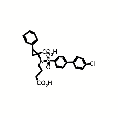 O=C(O)CCCN(C1(C(=O)O)CC1c1ccccc1)S(=O)(=O)c1ccc(-c2ccc(Cl)cc2)cc1